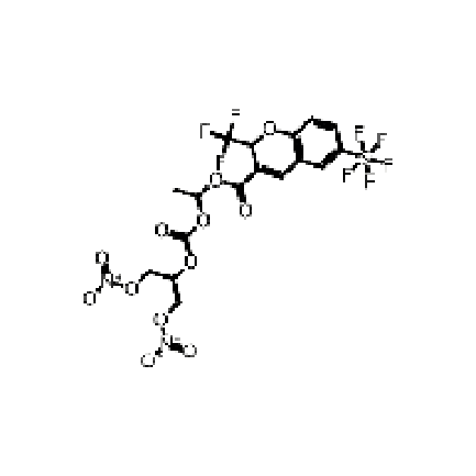 CC(OC(=O)OC(CO[N+](=O)[O-])CO[N+](=O)[O-])OC(=O)C1=Cc2cc(S(F)(F)(F)(F)F)ccc2OC1C(F)(F)F